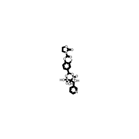 O=C1OCCN1C(=O)Oc1ccc(C2OP(=O)(O)C(O)(Cc3cccnc3)P(=O)(O)O2)cc1F